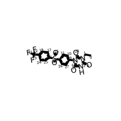 CCn1c(=O)[nH]c(=O)n(-c2ccc(S(=O)(=O)c3ccc(C(F)(F)F)cc3)cc2)c1=O